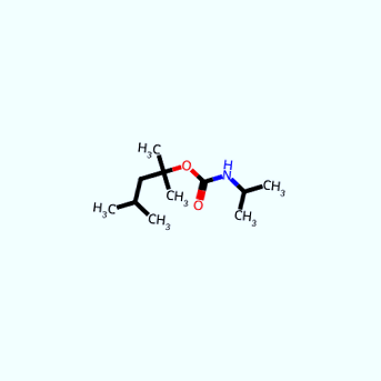 CC(C)CC(C)(C)OC(=O)NC(C)C